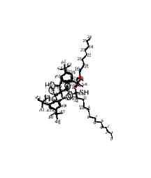 CCCCCCCCCCCCCC(S)(CCCCCCCCCCCC)OC(=O)C(C(=O)O)(C(O)c1cc(C(C)(C)C)cc(C(C)(C)C)c1)C(O)c1cc(C(C)(C)C)cc(C(C)(C)C)c1